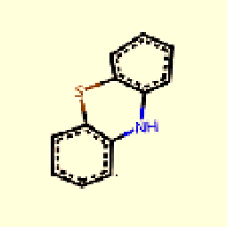 [c]1cccc2c1Nc1ccccc1S2